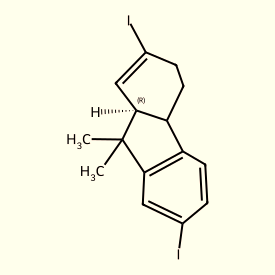 CC1(C)c2cc(I)ccc2C2CCC(I)=C[C@@H]21